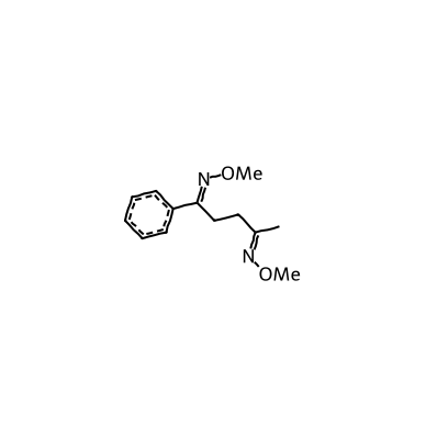 CON=C(C)CCC(=NOC)c1ccccc1